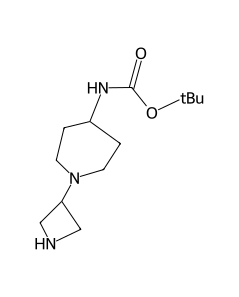 CC(C)(C)OC(=O)NC1CCN(C2CNC2)CC1